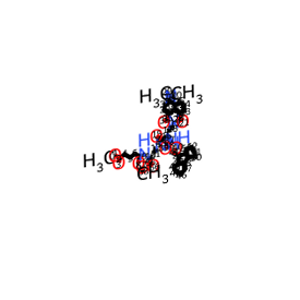 COC(=O)CCCC(=O)N[C@H](CCNC(=O)[C@@H](CCN1C(=O)c2cccc3c(N(C)C)ccc(c23)C1=O)NC(=O)OCC1c2ccccc2-c2ccccc21)C(=O)OC